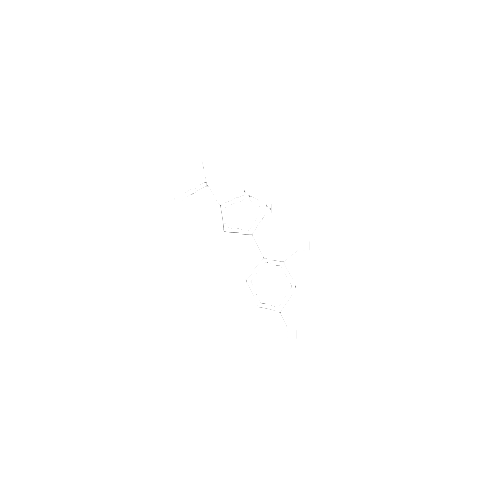 CC(=O)c1cc(-c2ccc(C)cc2C)n[nH]1